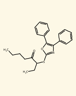 CCCCC(=O)C(CC)Sc1nc(-c2ccccc2)c(-c2ccccc2)o1